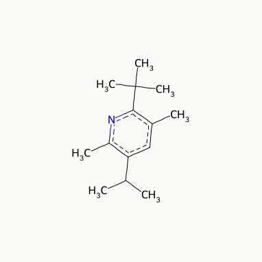 Cc1cc(C(C)C)c(C)nc1C(C)(C)C